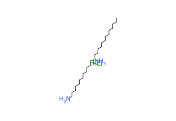 CCCCCCCCCCCCCCCCCCCCCCCCCCN.Cl.Cl.N